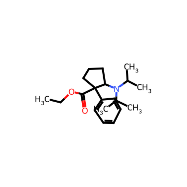 CCOC(=O)C1(c2ccccc2)CCCC1N(C(C)C)C(C)C